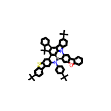 CC(C)(C)c1ccc(N2B3c4cc5oc6ccccc6c5cc4-n4c5ccc(C(C)(C)C)cc5c5c6c(c(c3c54)-c3cc4sc5cc(C(C)(C)C)ccc5c4cc32)C(C)(C)c2ccccc2-6)cc1